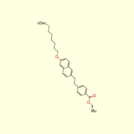 CCCCCCCCCCCCCCCCCOc1ccc2cc(CCc3ccc(C(=O)OC[C@H](C)CC)cc3)ccc2c1